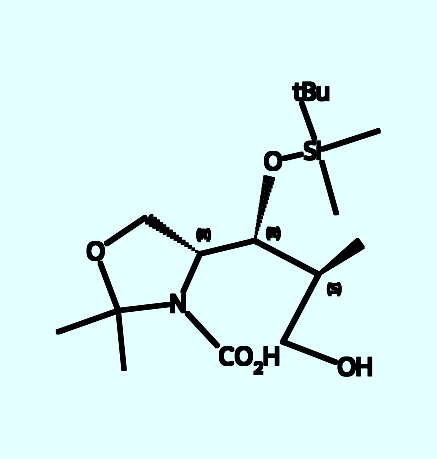 C[C@@H](CO)[C@@H](O[Si](C)(C)C(C)(C)C)[C@H]1COC(C)(C)N1C(=O)O